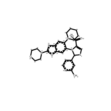 Cc1cc(C2SC=C(C(N)=O)N2c2cc3oc(N4CCOCC4)nc3cc2N2CCCCC2)ccn1